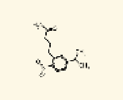 CC(C)c1ccc([N+](=O)[O-])c(CCCC(N)=O)c1